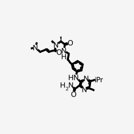 Cc1nc(C(N)=O)c(Nc2cccc(CCNC(=O)[C@H](C)N(C)C(=O)/C=C/CN(C)C)c2)nc1C(C)C